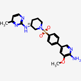 COc1cc(-c2ccc(S(=O)(=O)N3CCC[C@@H](Nc4nccc(C)n4)C3)cc2)cnc1N